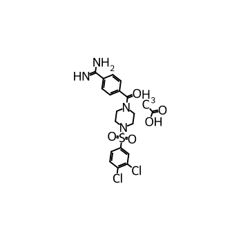 CC(=O)O.N=C(N)c1ccc(C(=O)N2CCN(S(=O)(=O)c3ccc(Cl)c(Cl)c3)CC2)cc1